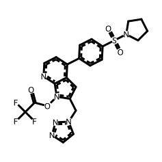 O=C(On1c(Cn2ccnn2)cc2c(-c3ccc(S(=O)(=O)N4CCCC4)cc3)ccnc21)C(F)(F)F